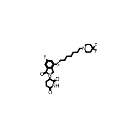 O=C1CCC(N2Cc3c(SCCCCCCCN4CCC(F)(F)CC4)cc(F)cc3C2=O)C(=O)N1